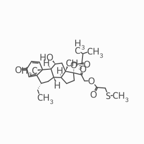 CC[C@H]1C[C@@H]2[C@H]([C@@H](O)C[C@@]3(C)[C@H]2CC[C@]3(OC(=O)C(C)C)C(=O)COC(=O)CSC)[C@@]2(C)C=CC(=O)C=C12